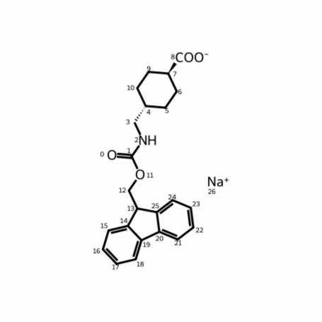 O=C(NC[C@H]1CC[C@H](C(=O)[O-])CC1)OCC1c2ccccc2-c2ccccc21.[Na+]